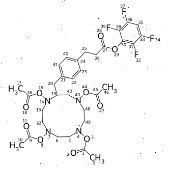 CC(=O)ON1CCN(OC(C)=O)CCN(OC(C)=O)C(Cc2ccc(CCC(=O)Oc3c(F)c(F)cc(F)c3F)cc2)CN(OC(C)=O)CC1